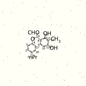 CCCc1ccc(OC(C=O)c2ccc(O)c(C)c2O)cc1